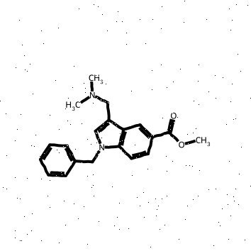 COC(=O)c1ccc2c(c1)c(CN(C)C)cn2Cc1ccccc1